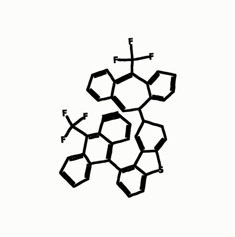 FC(F)(F)C1=c2ccccc2=CC(C2C=c3c(sc4cccc(-c5c6ccc#cc6c(C(F)(F)F)c6ccccc56)c34)=CC2)c2ccccc21